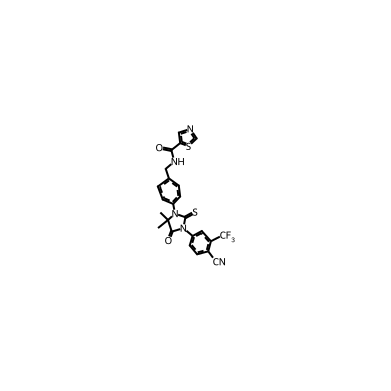 CC1(C)C(=O)N(c2ccc(C#N)c(C(F)(F)F)c2)C(=S)N1c1ccc(CNC(=O)c2cncs2)cc1